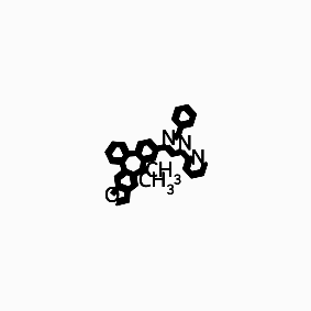 CC1(C)c2cc(-c3cc(-c4ccccn4)nc(-c4ccccc4)n3)ccc2-c2ccccc2-c2cc3occc3cc21